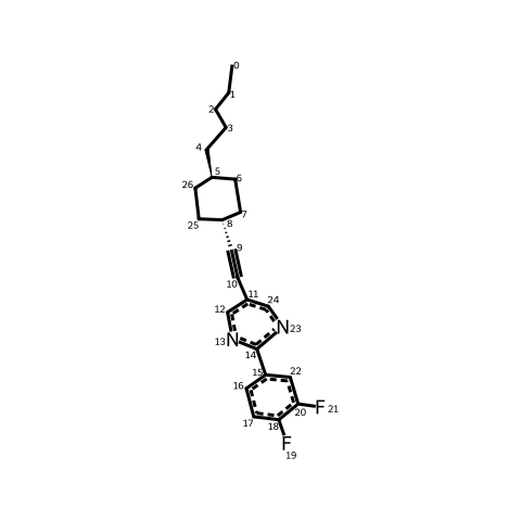 CCCCC[C@H]1CC[C@H](C#Cc2cnc(-c3ccc(F)c(F)c3)nc2)CC1